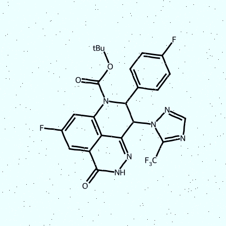 CC(C)(C)OC(=O)N1c2cc(F)cc3c(=O)[nH]nc(c23)C(n2ncnc2C(F)(F)F)C1c1ccc(F)cc1